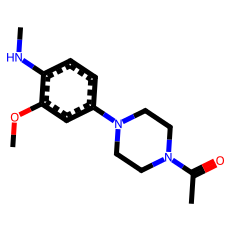 CNc1ccc(N2CCN(C(C)=O)CC2)cc1OC